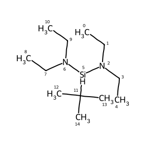 CCN(CC)[SiH](N(CC)CC)C(C)(C)C